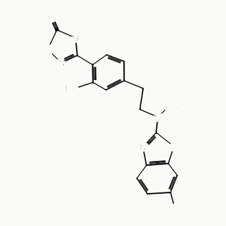 CCCCN(CCc1ccc(-c2noc(=O)[nH]2)c(C)c1)c1nc2ccc(Cl)cc2s1